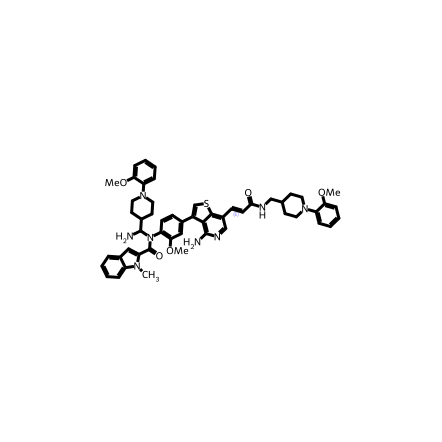 COc1ccccc1N1CCC(CNC(=O)/C=C/c2cnc(N)c3c(-c4ccc(N(C(=O)c5cc6ccccc6n5C)C(N)C5CCN(c6ccccc6OC)CC5)c(OC)c4)csc23)CC1